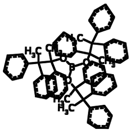 CC(OB(OC(C)(c1ccccc1)C(C)(c1ccccc1)c1ccccc1)OC(C)(c1ccccc1)C(C)(c1ccccc1)c1ccccc1)(c1ccccc1)C(C)(c1ccccc1)c1ccccc1